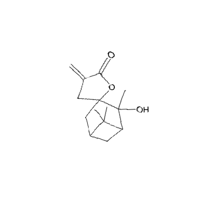 C=C1CC2(CC3CC(C3(C)C)C2(C)O)OC1=O